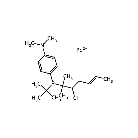 CC=CCC(Cl)C(C)(C)P(c1ccc(N(C)C)cc1)C(C)(C)C.[Pd+2]